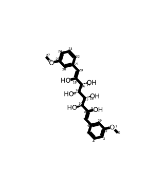 COc1cccc(C=C(O)[C@@H](O)[C@@H](O)[C@H](O)[C@@H](O)C(O)=Cc2cccc(OC)c2)c1